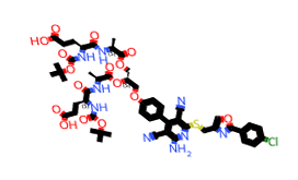 C[C@H](NC(=O)[C@H](CCC(=O)O)NC(=O)OC(C)(C)C)C(=O)OC[C@H](COc1ccc(-c2c(C#N)c(N)nc(SCc3coc(-c4ccc(Cl)cc4)n3)c2C#N)cc1)OC(=O)[C@H](C)NC(=O)[C@H](CCC(=O)O)NC(=O)OC(C)(C)C